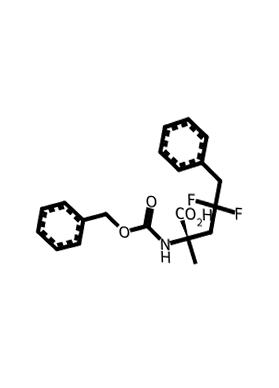 C[C@@](CC(F)(F)Cc1ccccc1)(NC(=O)OCc1ccccc1)C(=O)O